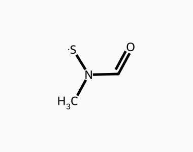 CN([S])C=O